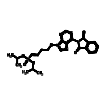 CC(C)OP(=O)(C=CCCOn1cnc2c(N3C(=O)c4ccccc4C3=O)ncnc21)OC(C)C